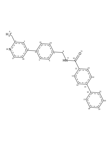 Cc1cc(-c2ccc(CNC(=O)c3ccc(-c4ccccc4)cc3)cc2)ccn1